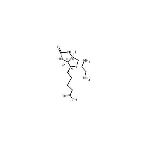 NCCN.O=C(O)CCCC[C@@H]1SC[C@@H]2NC(=O)N[C@@H]21